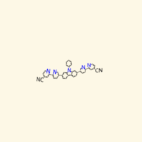 N#Cc1ccnc(-c2ccc(-c3ccc4c5ccc(-c6ccc(-c7cc(C#N)ccn7)nc6)cc5n(-c5ccccc5)c4c3)cn2)c1